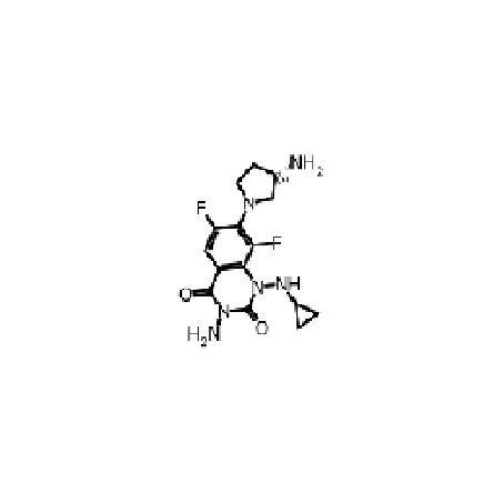 N[C@H]1CCN(c2c(F)cc3c(=O)n(N)c(=O)n(NC4CC4)c3c2F)C1